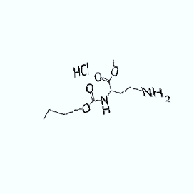 CCCCOC(=O)NC(CCN)C(=O)OC.Cl